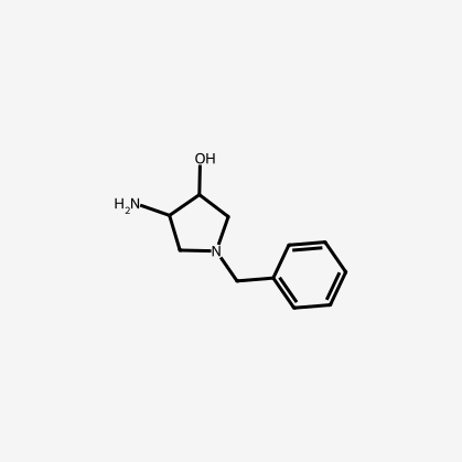 NC1CN(Cc2ccccc2)CC1O